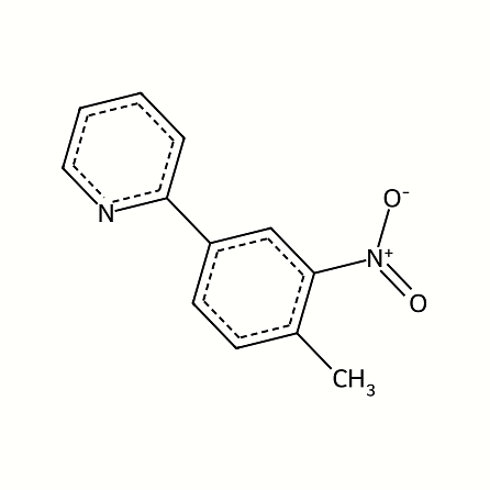 Cc1ccc(-c2ccccn2)cc1[N+](=O)[O-]